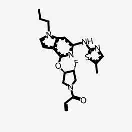 C=CC(=O)N1C[C@@H](F)[C@H](Oc2nc(Nc3ncc(C)s3)cc3c2ccn3CCC)C1